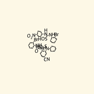 N#Cc1ccc(NC(=O)Nc2ccccc2Br)c(N(c2ccccc2)S(=O)(=O)O)c1.O=[N+]([O-])c1ccc(NC(=S)Nc2ccccc2Br)c(O)c1